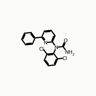 NC(=O)N(c1cccc(-c2ccccc2)n1)c1c(Cl)cccc1Cl